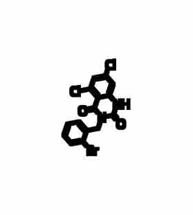 O=c1[nH]c2cc(Cl)cc(Cl)c2c(=O)n1Cc1ccccc1Br